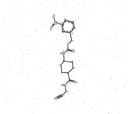 N#CCNC(=O)C1CCC(NC(=O)OCc2cccc([N+](=O)[O-])c2)CC1